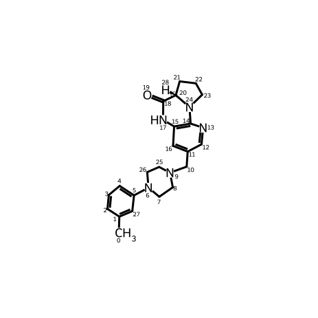 Cc1cccc(N2CCN(Cc3cnc4c(c3)NC(=O)[C@@H]3CCCN43)CC2)c1